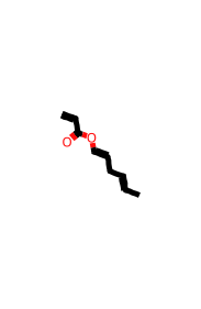 C=CC(=O)OC=CCC=CC